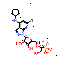 C[C@@](CO)(OCC1O[C@@H](n2ncc3c(NC4CCCC4)cc(Cl)nc32)[C@H](O)[C@@H]1O)P(=O)(O)O